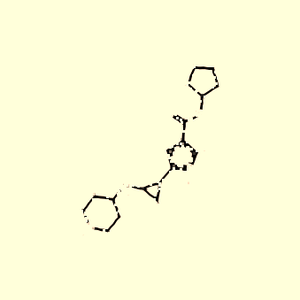 Cl.O=C(NC1CCCC1)c1csc(C2CC2NC2CCOCC2)c1